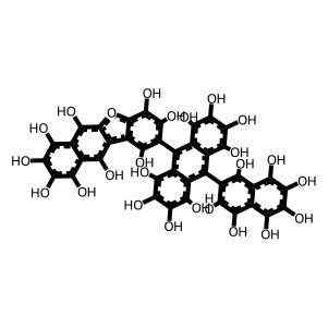 Oc1c(-c2c3c(O)c(O)c(O)c(O)c3c(-c3c(O)c(O)c4c(O)c(O)c(O)c(O)c4c3O)c3c(O)c(O)c(O)c(O)c23)c(O)c2c(oc3c(O)c4c(O)c(O)c(O)c(O)c4c(O)c32)c1O